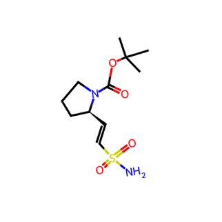 CC(C)(C)OC(=O)N1CCC[C@@H]1/C=C/S(N)(=O)=O